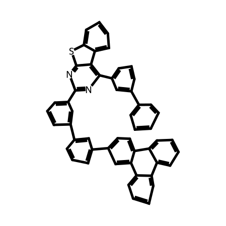 c1ccc(-c2cccc(-c3nc(-c4cccc(-c5cccc(-c6ccc7c8ccccc8c8ccccc8c7c6)c5)c4)nc4sc5ccccc5c34)c2)cc1